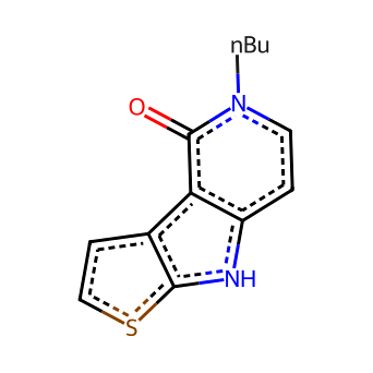 CCCCn1ccc2[nH]c3sccc3c2c1=O